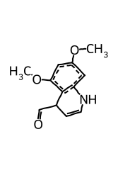 COc1cc2c(c(OC)c1)C(C=O)C=CN2